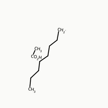 CC(=O)O.[CH2]CCCCCCC